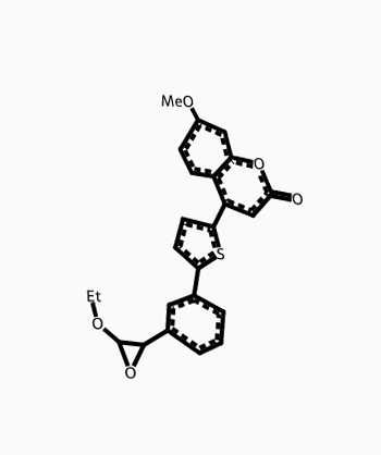 CCOC1OC1c1cccc(-c2ccc(-c3cc(=O)oc4cc(OC)ccc34)s2)c1